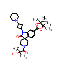 CC(C)(O)C(=O)N1CCC2(CC1)C(=O)N(C1CC(N3CCCCC3)C1)c1cc(B3OC(C)(C)C(C)(C)O3)ccc12